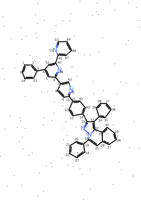 c1ccc(-c2cc(-c3ccc(-c4ccc(-c5nn6c(-c7ccccc7)cc7ccccc7c6c5-c5ccccc5)cc4)nc3)nc(-c3ccccn3)c2)cc1